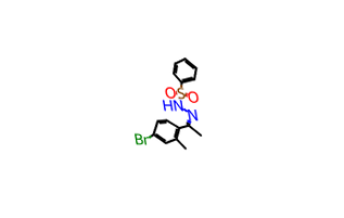 CC(=NNS(=O)(=O)c1ccccc1)c1ccc(Br)cc1C